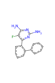 Nc1nc(N)c(F)c(-c2ccccc2-c2ccccc2)n1